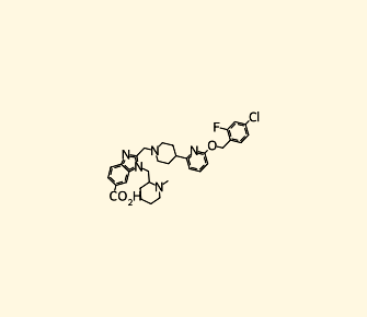 CN1CCCCC1Cn1c(CN2CCC(c3cccc(OCc4ccc(Cl)cc4F)n3)CC2)nc2ccc(C(=O)O)cc21